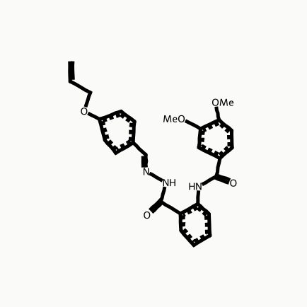 C=CCOc1ccc(/C=N/NC(=O)c2ccccc2NC(=O)c2ccc(OC)c(OC)c2)cc1